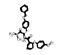 CCOc1ccc(Oc2ccccc2C(=O)N[C@@H](Cc2ccc(OCc3ccccc3)cc2)C(=O)N(C)C)cc1